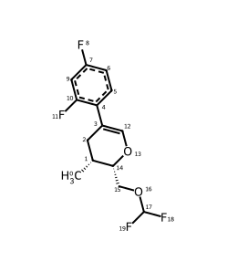 C[C@@H]1CC(c2ccc(F)cc2F)=CO[C@@H]1COC(F)F